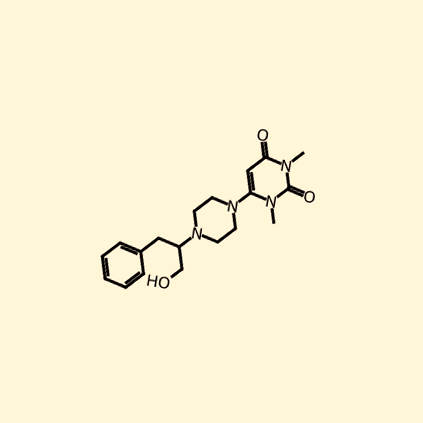 Cn1c(N2CCN(C(CO)Cc3ccccc3)CC2)cc(=O)n(C)c1=O